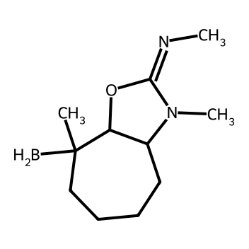 BC1(C)CCCCC2C1O/C(=N/C)N2C